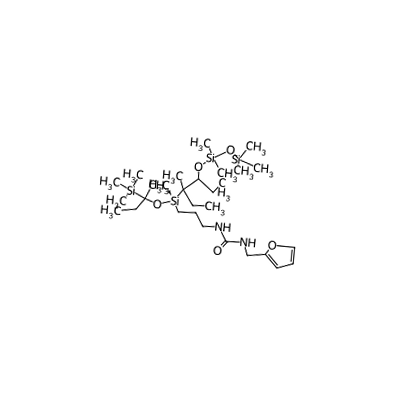 CCC(O[Si](C)(C)O[Si](C)(C)C)C(C)(CC)[Si@](C)(CCCNC(=O)NCc1ccco1)OC(C)(CC)[Si](C)(C)C